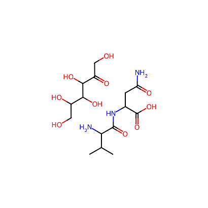 CC(C)C(N)C(=O)NC(CC(N)=O)C(=O)O.O=C(CO)C(O)C(O)C(O)CO